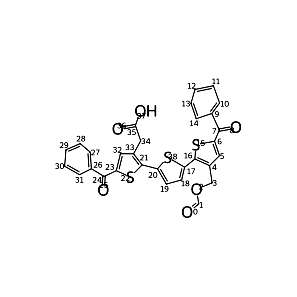 O=COCc1cc(C(=O)c2ccccc2)sc1-c1ccc(-c2sc(C(=O)c3ccccc3)cc2CC(=O)O)s1